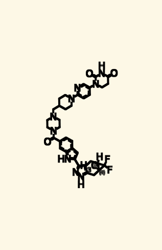 C[C@@]12Cc3[nH]nc(-c4cc5ccc(C(=O)N6CCN(CC7CCN(c8ccc(N9CCC(=O)NC9=O)cn8)CC7)CC6)cc5[nH]4)c3C[C@@H]1C2(F)F